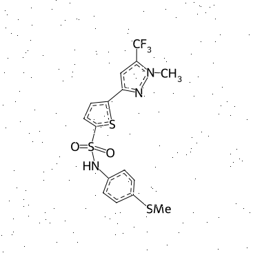 CSc1ccc(NS(=O)(=O)c2ccc(-c3cc(C(F)(F)F)n(C)n3)s2)cc1